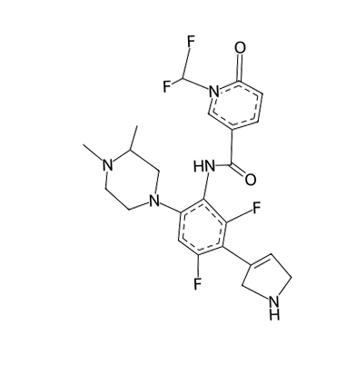 CC1CN(c2cc(F)c(C3=CCNC3)c(F)c2NC(=O)c2ccc(=O)n(C(F)F)c2)CCN1C